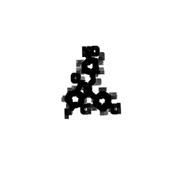 O=C1c2ccc(F)c(Cl)c2C(c2ccc(Cl)cc2)N1Cc1ccc([N+](=O)[O-])cc1